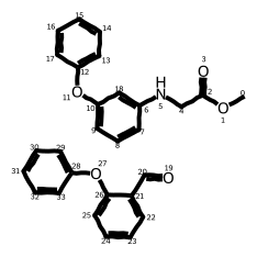 COC(=O)CNc1cccc(Oc2ccccc2)c1.O=Cc1ccccc1Oc1ccccc1